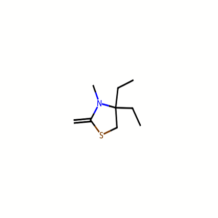 C=C1SCC(CC)(CC)N1C